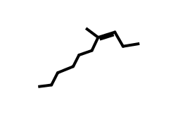 CCC=C(C)CCCCCC